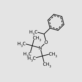 CC(ON(C(C)(C)C)C(C)(C)C)c1ccccc1